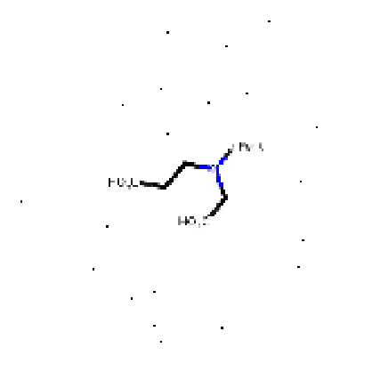 CCCCCN(CCC(=O)O)CC(=O)O